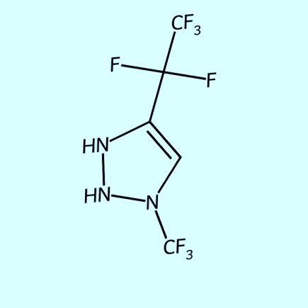 FC(F)(F)N1C=C(C(F)(F)C(F)(F)F)NN1